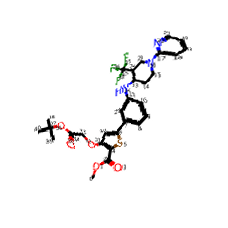 COC(=O)c1sc(-c2cccc(NC3CCN(c4ccccn4)CC3C(F)(F)F)c2)cc1OCC(=O)OC(C)(C)C